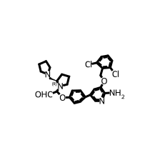 Nc1ncc(-c2ccc(OC(C=O)N3CCC[C@@H]3CN3CCCC3)cc2)cc1OCc1c(Cl)cccc1Cl